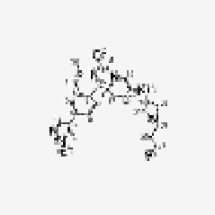 CCn1cc(-c2ccc3c(c2)C[C@@H](C)N(CC(F)(F)F)[C@H]3c2ccc(NC3CN(CCCF)C3)cn2)cn1